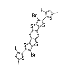 Cc1cc(I)c(-c2sc3c(sc4cc5c(cc43)sc3c(Br)c(-c4sc(C)cc4I)sc35)c2Br)s1